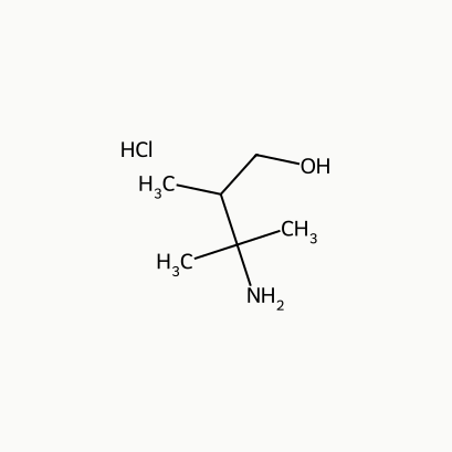 CC(CO)C(C)(C)N.Cl